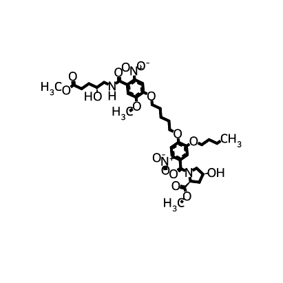 CCCCOc1cc(C(=O)N2C[C@H](O)C[C@H]2C(=O)OC)c([N+](=O)[O-])cc1OCCCCCOc1cc([N+](=O)[O-])c(C(=O)NC[C@H](O)CCC(=O)OC)cc1OC